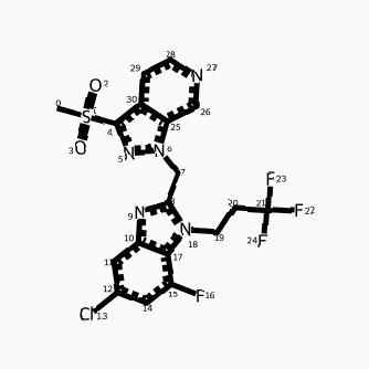 CS(=O)(=O)c1nn(Cc2nc3cc(Cl)cc(F)c3n2CCC(F)(F)F)c2cnccc12